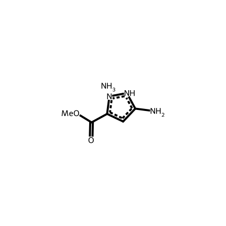 COC(=O)c1cc(N)[nH]n1.N